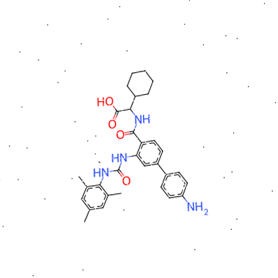 Cc1cc(C)c(NC(=O)Nc2cc(-c3ccc(N)cc3)ccc2C(=O)NC(C(=O)O)C2CCCCC2)c(C)c1